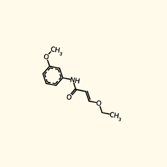 CCOC=CC(=O)Nc1cccc(OC)c1